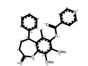 COc1c(OC(=O)c2ccncc2)c(C)c2c(c1OC)OC(=O)CCC2c1ccccc1